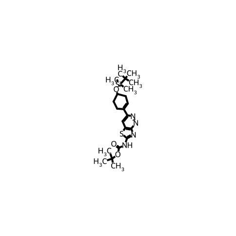 CC(C)(C)OC(=O)Nc1nc2nnc(C3=CCC(O[Si](C)(C)C(C)(C)C)CC3)cc2s1